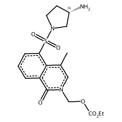 CCOC(=O)OCn1cc(C)c2c(S(=O)(=O)N3CC[C@H](N)C3)cccc2c1=O